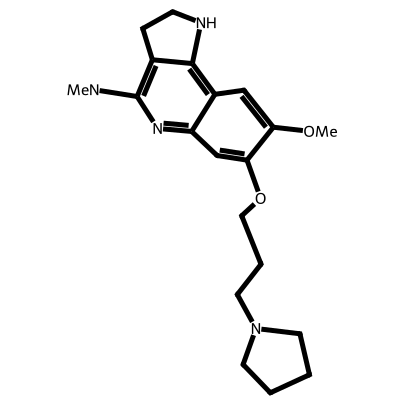 CNc1nc2cc(OCCCN3CCCC3)c(OC)cc2c2c1CCN2